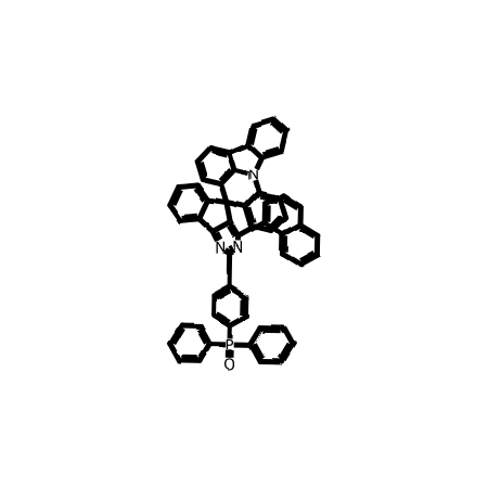 O=P(c1ccccc1)(c1ccccc1)c1ccc(-c2nc3c(c(-c4cccc5ccccc45)n2)C2(c4ccccc4-3)c3ccccc3-n3c4ccccc4c4cccc2c43)cc1